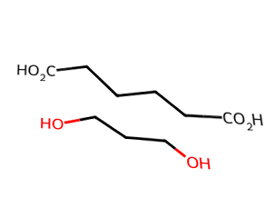 O=C(O)CCCCC(=O)O.OCCCO